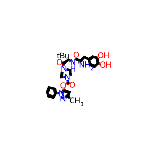 Cc1cc(OC(=O)N2CCN(C(=O)[C@@H](NC(=O)[C@@H](N)Cc3ccc(O)c(O)c3)C(C)(C)C)CC2)n(-c2ccccc2)n1